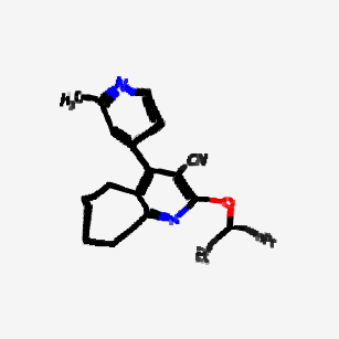 CCC[C@@H](CC)Oc1nc2c(c(-c3ccnc(C)c3)c1C#N)CCCC2